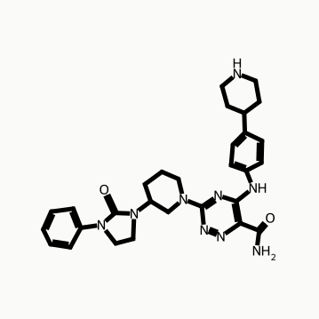 NC(=O)c1nnc(N2CCCC(N3CCN(c4ccccc4)C3=O)C2)nc1Nc1ccc(C2CCNCC2)cc1